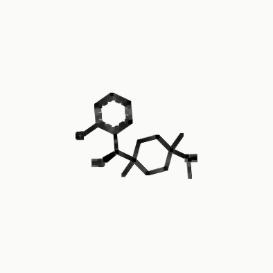 CNC1(C)CCC(C)([C@@H](O)c2ccccc2Cl)CC1